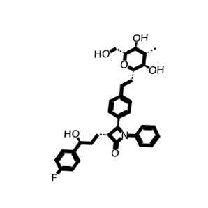 C[C@@H]1[C@@H](O)[C@H](CCc2ccc([C@@H]3[C@@H](CC[C@H](O)c4ccc(F)cc4)C(=O)N3c3ccccc3)cc2)O[C@H](CO)[C@H]1O